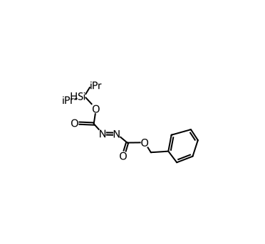 CC(C)[SiH](OC(=O)N=NC(=O)OCc1ccccc1)C(C)C